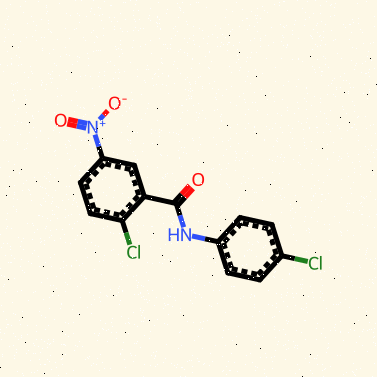 O=C(Nc1ccc(Cl)cc1)c1cc([N+](=O)[O-])ccc1Cl